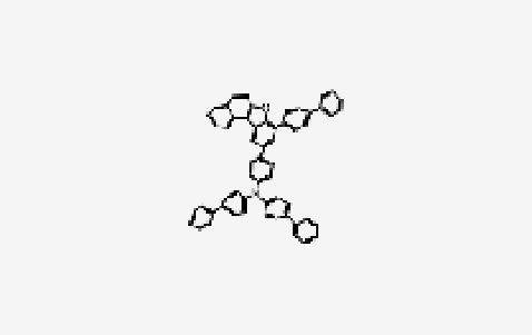 c1ccc(-c2ccc(-c3cc(-c4ccc(N(c5ccc(-c6ccccc6)cc5)c5ccc(-c6ccccc6)cc5)cc4)cc4c3oc3ccc5ccccc5c34)cc2)cc1